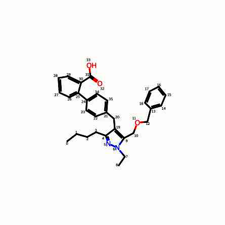 CCCCc1nn(CC)c(COCc2ccccc2)c1Cc1ccc(-c2ccccc2C(=O)O)cc1